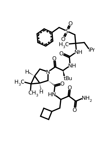 CC(C)CC(C)(CS(=O)(=O)Cc1ccccc1)NC(=O)N[C@H](C(=O)N1C[C@H]2[C@@H]([C@H]1C(=O)NC(CC1CCC1)C(=O)C(N)=O)C2(C)C)C(C)(C)C